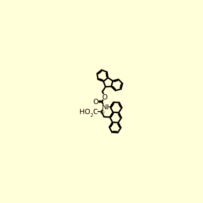 O=C(N[C@@H](Cc1c2ccccc2cc2ccccc12)C(=O)O)OCC1c2ccccc2-c2ccccc21